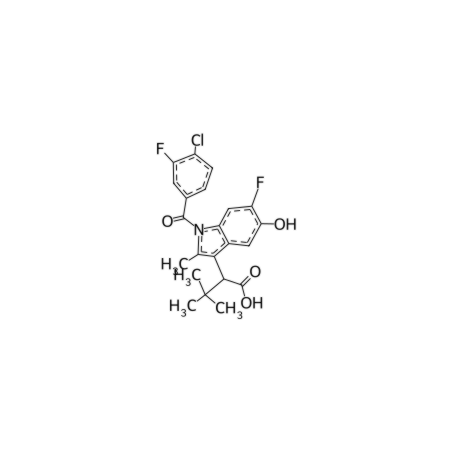 Cc1c(C(C(=O)O)C(C)(C)C)c2cc(O)c(F)cc2n1C(=O)c1ccc(Cl)c(F)c1